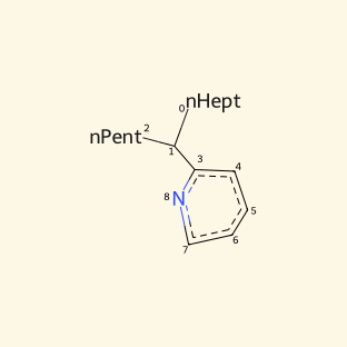 CCCCCCCC(CCCCC)c1ccccn1